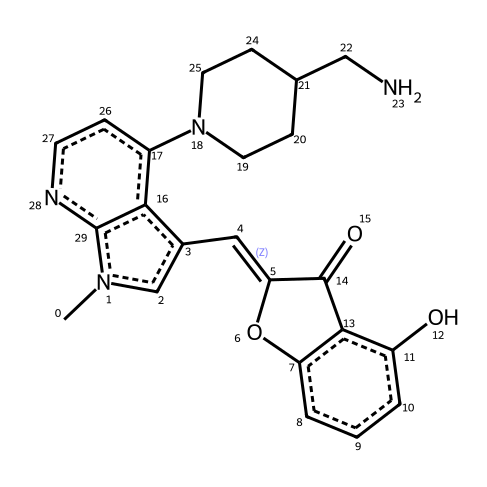 Cn1cc(/C=C2\Oc3cccc(O)c3C2=O)c2c(N3CCC(CN)CC3)ccnc21